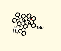 CC(C)(C)c1ccc(N2c3cc4c(c5c3B(c3c2sc2ccccc32)N2c3ccccc3C(c3ccccc3)(c3ccccc3)c3cccc-5c32)C(C)(C)c2ccccc2-4)c(-c2ccccc2)c1